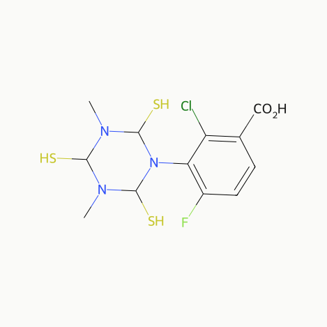 CN1C(S)N(C)C(S)N(c2c(F)ccc(C(=O)O)c2Cl)C1S